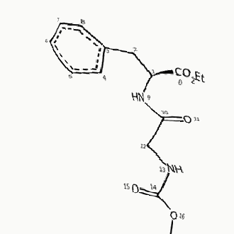 CCOC(=O)[C@H](Cc1ccccc1)NC(=O)CNC(=O)OC(C)(C)C